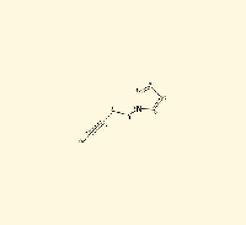 CC#CCCn1cccc1